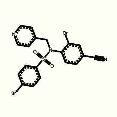 N#Cc1ccc(N(Cc2ccncc2)S(=O)(=O)c2ccc(Br)cc2)c(Br)c1